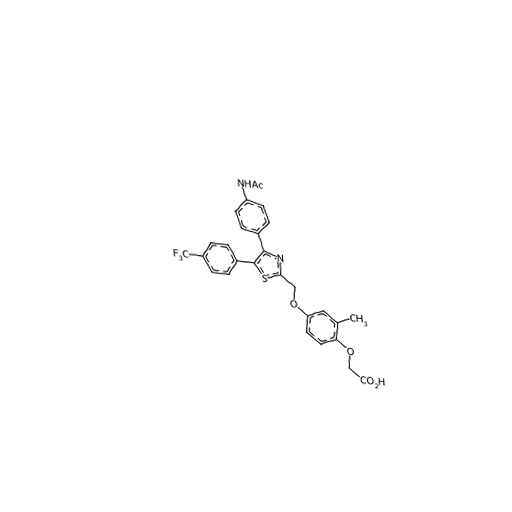 CC(=O)Nc1ccc(-c2nc(COc3ccc(OCC(=O)O)c(C)c3)sc2-c2ccc(C(F)(F)F)cc2)cc1